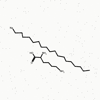 CCCCCCCCCCCCCCCCC[CH2][Na].NCCCCC(N)C(=O)O